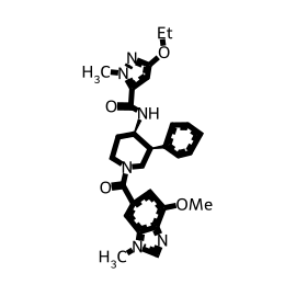 CCOc1cc(C(=O)N[C@@H]2CCN(C(=O)c3cc(OC)c4ncn(C)c4c3)C[C@@H]2c2ccccc2)n(C)n1